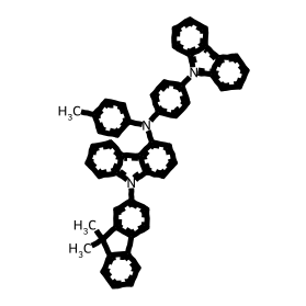 Cc1ccc(N(c2ccc(-n3c4ccccc4c4ccccc43)cc2)c2cccc3c2c2ccccc2n3-c2ccc3c(c2)C(C)(C)c2ccccc2-3)cc1